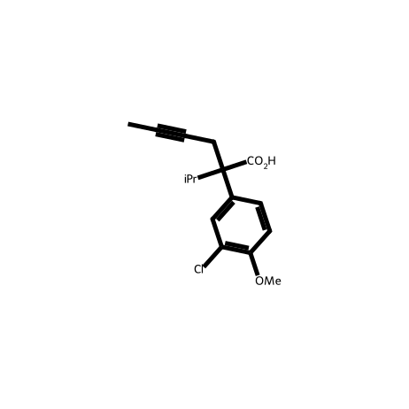 CC#CCC(C(=O)O)(c1ccc(OC)c(Cl)c1)C(C)C